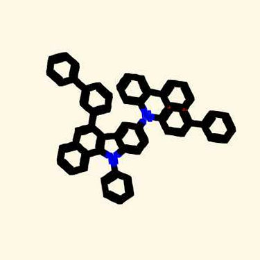 c1ccc(-c2ccc(N(c3ccc4c(c3)c3c(-c5cccc(-c6ccccc6)c5)cc5ccccc5c3n4-c3ccccc3)c3ccccc3-c3ccccc3)cc2)cc1